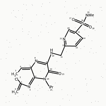 C=C(Cl)/N=C1\C(=C/C)N=C(NCc2ccc(S(=O)(=O)NC)cn2)C(=O)N1C(C)C